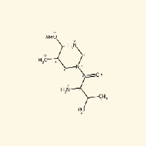 CCC(C)C(C)C(N)C(=O)N(CN)CC(C)COC